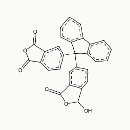 O=C1OC(=O)c2cc(C3(c4ccc5c(c4)C(=O)OC5O)c4ccccc4-c4ccccc43)ccc21